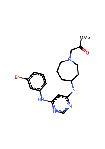 COC(=O)CN1CCCC(Nc2cc(Nc3cccc(Br)c3)ncn2)CC1